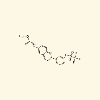 COC(=O)/C=C/c1ccc2nc(-c3cccc(OS(=O)(=O)C(F)(F)F)c3)ccc2c1